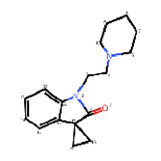 O=C1N(CCN2CCCCC2)c2ccccc2C12CC2